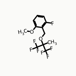 COc1cccc(F)c1COC(C)(C(F)(F)F)C(F)(F)F